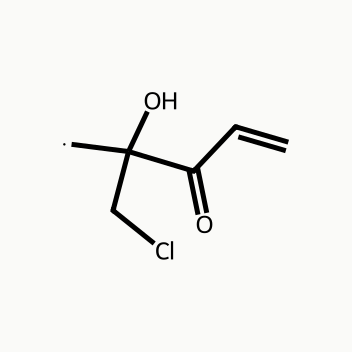 [CH2]C(O)(CCl)C(=O)C=C